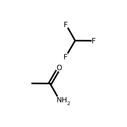 CC(N)=O.FC(F)F